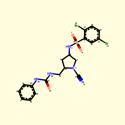 N#CN1CC(NS(=O)(=O)c2cc(Br)ccc2Br)CC1CNC(=O)Nc1ccccc1